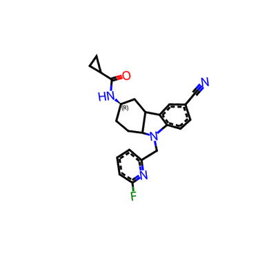 N#Cc1ccc2c(c1)C1C[C@H](NC(=O)C3CC3)CCC1N2Cc1cccc(F)n1